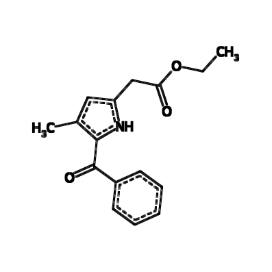 CCOC(=O)Cc1cc(C)c(C(=O)c2ccccc2)[nH]1